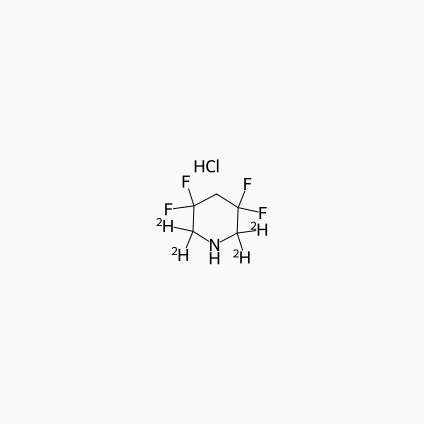 Cl.[2H]C1([2H])NC([2H])([2H])C(F)(F)CC1(F)F